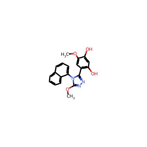 COc1cc(-c2nnc(OC)n2-c2cccc3ccccc23)c(O)cc1O